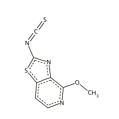 COc1nccc2sc(N=C=S)nc12